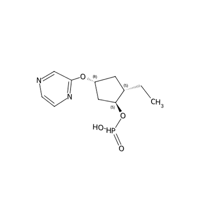 CC[C@H]1C[C@@H](Oc2cnccn2)C[C@@H]1O[PH](=O)O